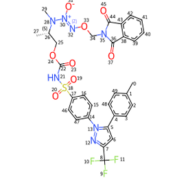 Cc1ccc(-c2cc(C(F)(F)F)nn2-c2ccc(S(=O)(=O)NC(=O)OC[C@H](C)N(C)/[N+]([O-])=N/OCN3C(=O)c4ccccc4C3=O)cc2)cc1